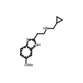 COc1ccc2nc(CCNCC3CC3)[nH]c2c1